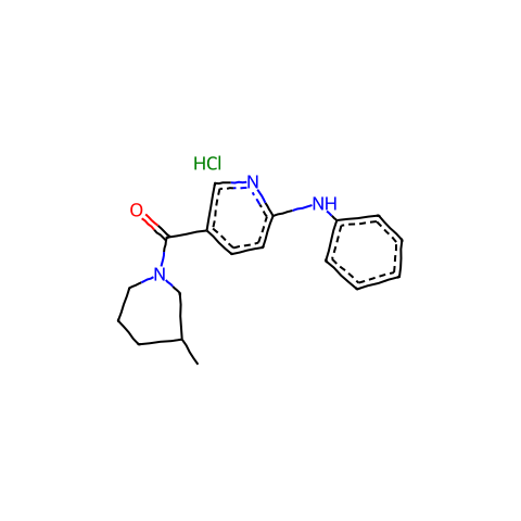 CC1CCCN(C(=O)c2ccc(Nc3ccccc3)nc2)C1.Cl